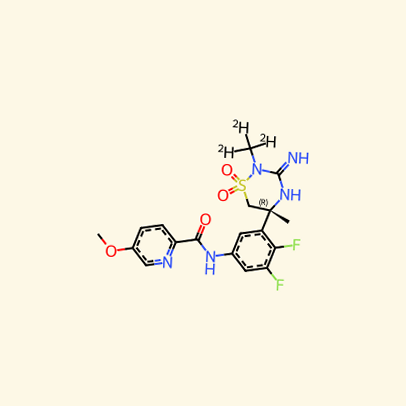 [2H]C([2H])([2H])N1C(=N)N[C@](C)(c2cc(NC(=O)c3ccc(OC)cn3)cc(F)c2F)CS1(=O)=O